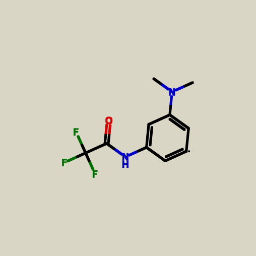 CN(C)c1c[c]cc(NC(=O)C(F)(F)F)c1